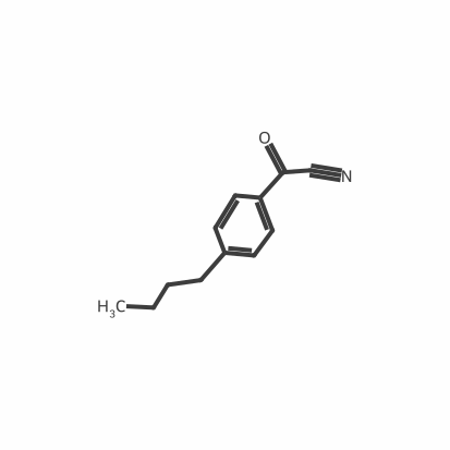 CCCCc1ccc(C(=O)C#N)cc1